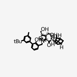 COc1c(CN2O[C@@H](CO)[C@@H]([C@H](C)O)[C@H]2C(=O)N[C@H]2C[C@H]3C[C@@H]([C@@H]2C)C3(C)C)cccc1-c1cc(C)cc(C(C)(C)C)c1